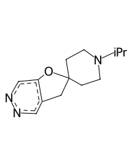 CC(C)N1CCC2(CC1)Cc1cnncc1O2